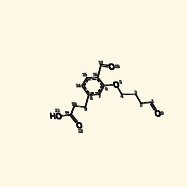 O=CCCCOc1cc(CCC(=O)O)ccc1C=O